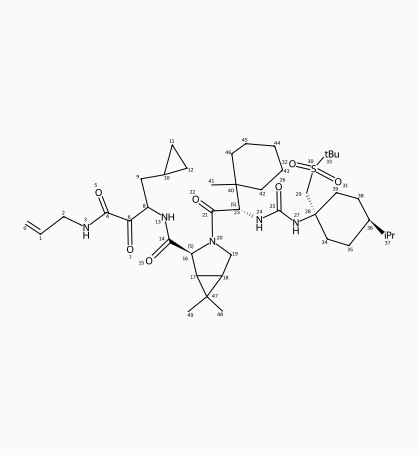 C=CCNC(=O)C(=O)C(CC1CC1)NC(=O)[C@@H]1C2C(CN1C(=O)[C@@H](NC(=O)N[C@]1(CS(=O)(=O)C(C)(C)C)CC[C@H](C(C)C)CC1)C1(C)CCCCC1)C2(C)C